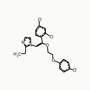 CCc1nccn1C=C(OCCOc1ccc(Cl)cc1)c1ccc(Cl)cc1Cl